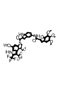 COc1cc2cc(C(=O)Nc3ccc4[nH]c(C(=O)N5C[C@@H](CCl)c6c5cc(O)c5[nH]c(C(F)(F)F)c(C(=O)O)c65)cc4c3)oc2c(OC)c1OC